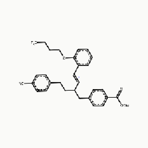 COC(=O)c1ccc(CC(/C=C/c2ccccc2OCCCC(F)(F)F)CCc2ccc(C#N)cc2)cc1